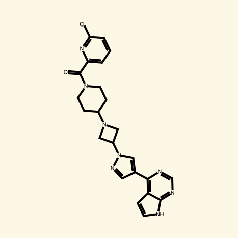 O=C(c1cccc(Cl)n1)N1CCC(N2CC(n3cc(-c4ncnc5[nH]ccc45)cn3)C2)CC1